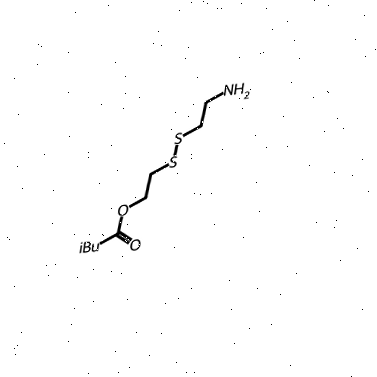 CCC(C)C(=O)OCCSSCCN